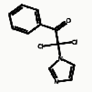 O=C(c1ccccc1)C(Cl)(Cl)n1ccnc1